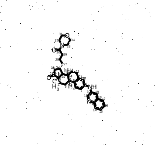 C[C@]12CC[C@@H]3c4ccc(Nc5cnc6ccccc6c5)cc4CC[C@H]3[C@@H]1[C@@H](CCCC(=O)N1CCOCC1)CC2=O